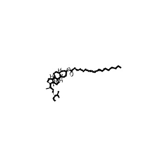 CCCCCCCCCCCCCCCCC(=O)O[C@H]1CC[C@@]2(C)[C@@H](CC[C@@H]3[C@@H]2CC[C@]2(C)[C@@H]([C@H](C)CC[C@@H](CC)C(C)C)CC[C@@H]32)C1